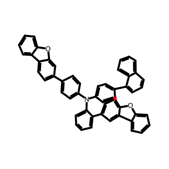 c1ccc(N(c2ccc(-c3ccc4c(c3)oc3ccccc34)cc2)c2ccc(-c3cccc4ccccc34)cc2)c(-c2ccc3oc4ccccc4c3c2)c1